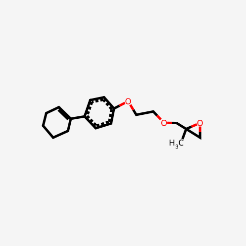 CC1(COCCOc2ccc(C3=CCCCC3)cc2)CO1